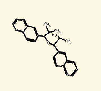 CC(C)C(OC(c1ccc2ccccc2c1)C(C)C)c1ccc2ccccc2c1